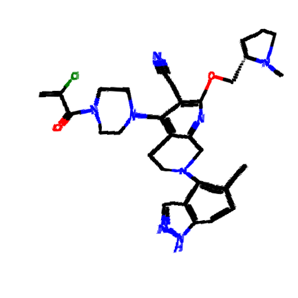 C=C(Cl)C(=O)N1CCN(c2c(C#N)c(OC[C@@H]3CCCN3C)nc3c2CCN(c2c(C)ccc4[nH]ncc24)C3)CC1